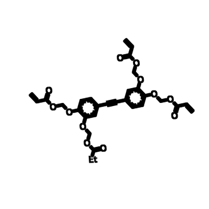 C=CC(=O)OCOc1ccc(C#Cc2ccc(OCOC(=O)C=C)c(OCOC(=O)CC)c2)cc1OCOC(=O)C=C